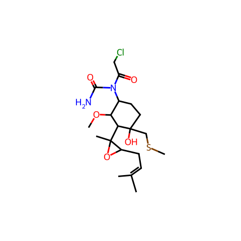 COC1C(N(C(N)=O)C(=O)CCl)CCC(O)(CSC)C1C1(C)OC1CC=C(C)C